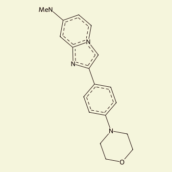 CNc1ccn2cc(-c3ccc(N4CCOCC4)cc3)nc2c1